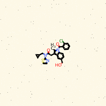 Cc1c(CC(=O)N(CC2CC2)c2nccs2)c2cc(CO)ccc2n1C(=O)c1ccccc1Cl